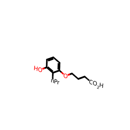 CCCc1c(O)cccc1OCCCC(=O)O